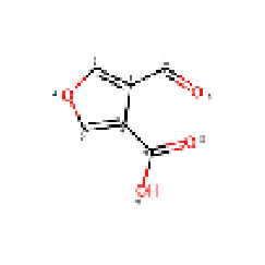 O=[C]c1cocc1C(=O)O